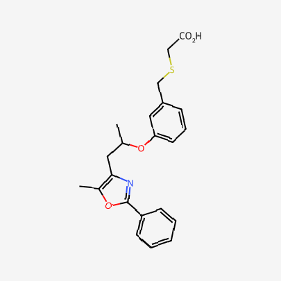 Cc1oc(-c2ccccc2)nc1CC(C)Oc1cccc(CSCC(=O)O)c1